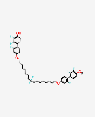 CCOc1ccc(-c2ccc(OCCCCCCCCC(F)(F)CCCCCCCCOc3ccc(-c4ccc(O)c(F)c4F)c(F)c3)cc2F)c(F)c1F